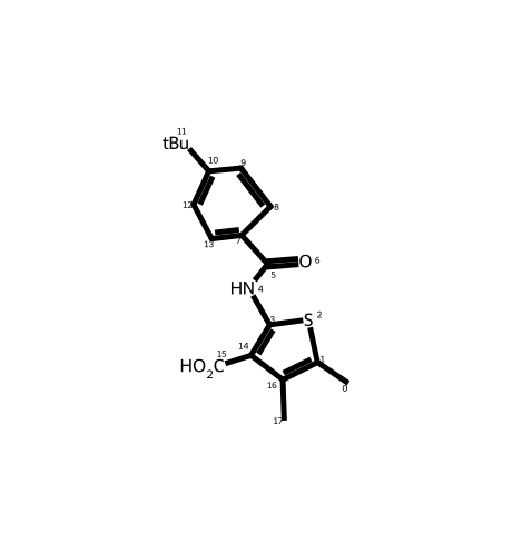 Cc1sc(NC(=O)c2ccc(C(C)(C)C)cc2)c(C(=O)O)c1C